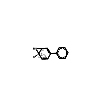 C[C@]12C=C(c3ccccc3)C=C[C@@H]1N2